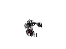 CC(C)(C)C(c1ccc(-c2nc3c(OCCCc4ccncc4)cccc3nc2-c2ccccc2)cc1)(N(C(=O)O)C(=O)O)C(C)(C)C